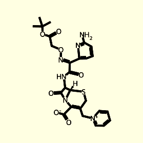 CC(C)(C)OC(=O)CON=C(C(=O)NC1C(=O)N2C(C(=O)[O-])=C(C[n+]3ccccc3)CS[C@@H]12)c1cccc(N)n1